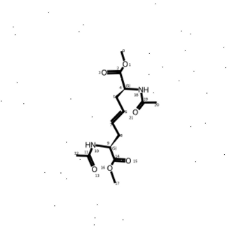 COC(=O)[C@H](CC=CC[C@H](NC(C)=O)C(=O)OC)NC(C)=O